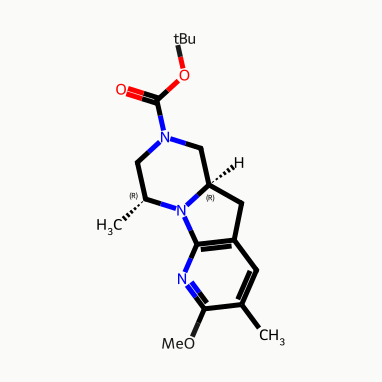 COc1nc2c(cc1C)C[C@@H]1CN(C(=O)OC(C)(C)C)C[C@@H](C)N21